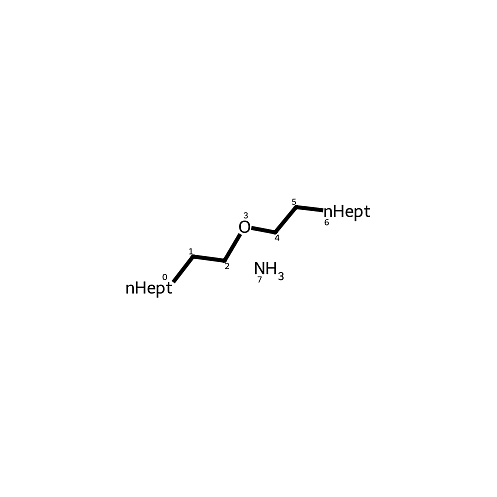 CCCCCCCCCOCCCCCCCCC.N